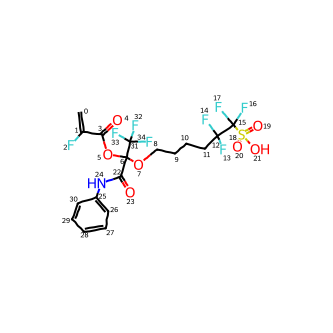 C=C(F)C(=O)OC(OCCCCC(F)(F)C(F)(F)S(=O)(=O)O)(C(=O)Nc1ccccc1)C(F)(F)F